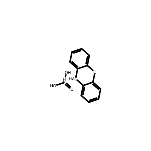 O=[PH](O)O.c1ccc2c(c1)Oc1ccccc1[AsH]2